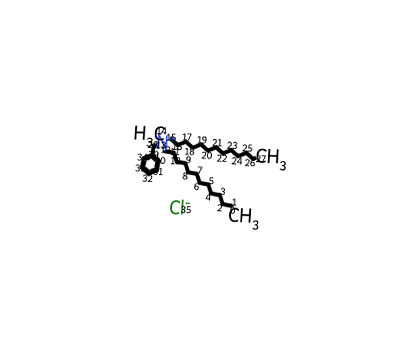 CCCCCCCCCCCCC[N+](C)(CCCCCCCCCCCCC)Cc1ccccc1.[Cl-]